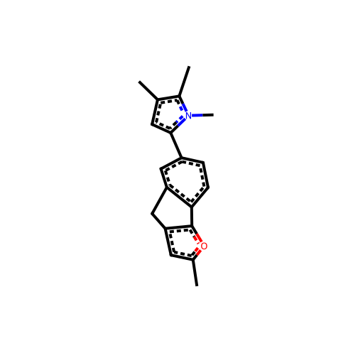 Cc1cc2c(o1)-c1ccc(-c3cc(C)c(C)n3C)cc1C2